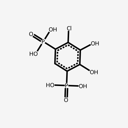 O=P(O)(O)c1cc(P(=O)(O)O)c(Cl)c(O)c1O